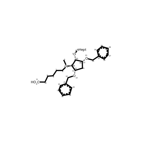 CCCCCCCO[C@H]1[C@H](N(C)CCCCCC(=O)O)[C@@H](OCc2ccccc2)C[C@H]1OCc1ccccc1